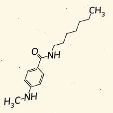 CCCCCCCNC(=O)c1ccc(NC)cc1